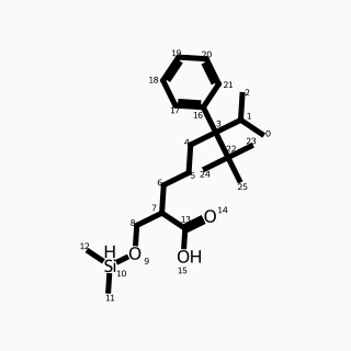 CC(C)C(CCCC(CO[SiH](C)C)C(=O)O)(c1ccccc1)C(C)(C)C